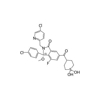 CO[C@@]1(c2ccc(Cl)cc2)c2c(F)cc(C(=O)C3CCS(O)(O)CC3)cc2C(=O)N1Cc1ccc(Cl)cn1